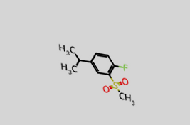 CC(C)c1ccc(F)c(S(C)(=O)=O)c1